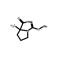 COC(=O)C1(C)CCCN1C(=O)OC(C)(C)C